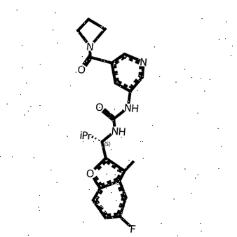 Cc1c([C@@H](NC(=O)Nc2cncc(C(=O)N3CCC3)c2)C(C)C)oc2ccc(F)cc12